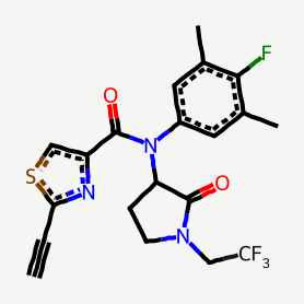 C#Cc1nc(C(=O)N(c2cc(C)c(F)c(C)c2)C2CCN(CC(F)(F)F)C2=O)cs1